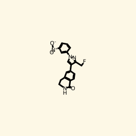 O=C1NCCc2cc(-c3cn(-c4cccc([N+](=O)[O-])c4)nc3CF)ccc21